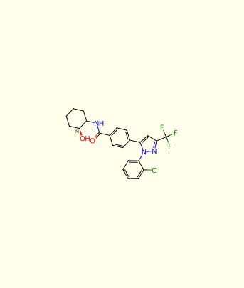 O=C(NC1CCCC[C@@H]1O)c1ccc(-c2cc(C(F)(F)F)nn2-c2ccccc2Cl)cc1